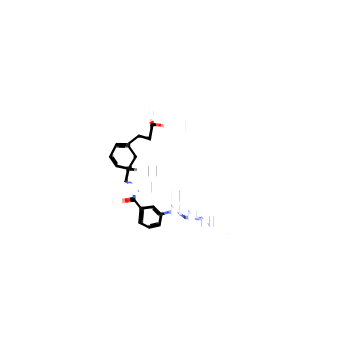 CC1(CNC(=O)c2cccc(NC=NN)c2)C=CC=C(CCC(=O)O)C1